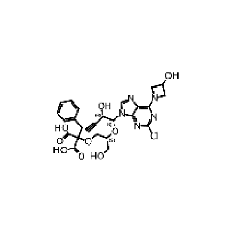 C#C[C@@H](O)[C@@H](O[C@@H](CO)COC(Cc1ccccc1)(C(=O)O)C(=O)O)n1cnc2c(N3CC(O)C3)nc(Cl)nc21